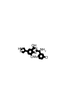 COc1cc(C2C=NNC2)cc2c(O)nc(C(N)c3cccc(Cl)c3)nc12